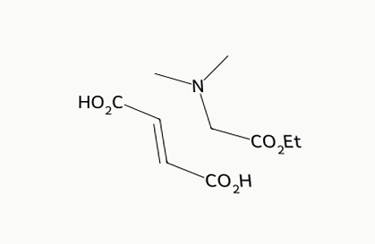 CCOC(=O)CN(C)C.O=C(O)/C=C/C(=O)O